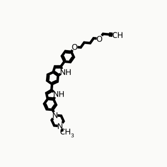 C#CCOCCCCOc1ccc(-c2cc3ccc(-c4cc5ccc(N6CCN(C)CC6)cc5[nH]4)cc3[nH]2)cc1